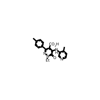 CCn1nc(-c2ccc(C)cc2)c(C(=O)O)c(Nc2cnccc2C)c1=O